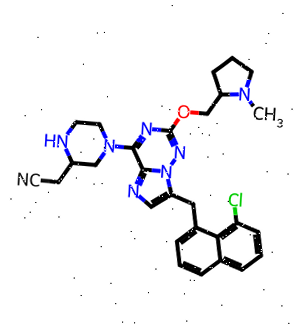 CN1CCCC1COc1nc(N2CCNC(CC#N)C2)c2ncc(Cc3cccc4cccc(Cl)c34)n2n1